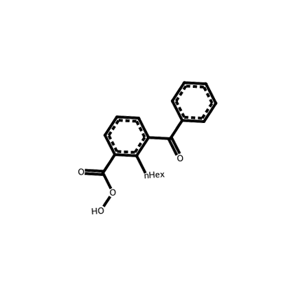 CCCCCCc1c(C(=O)OO)cccc1C(=O)c1ccccc1